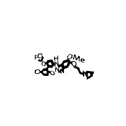 COc1cc2c(Nc3ccc(OC(CF)CCl)c(C4=CC(=O)C=CC4=O)c3)ncnc2cc1OCCCN1CCCC1